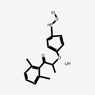 CCOPc1ccc(OC(C)C(=O)c2c(C)cccc2C)cc1.[LiH]